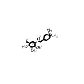 CC1(C)CCC(CN[C@@H]2C=C(CF)[C@H](O)[C@H](O)[C@H]2O)CC1